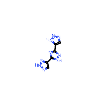 [c]1nn[nH]c1-c1n[nH]c(-c2cn[nH]n2)n1